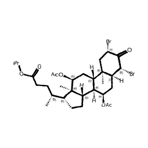 CC(=O)O[C@H]1C[C@H]2[C@@H]([C@H](OC(C)=O)C[C@@H]3[C@@H](Br)C(=O)[C@@H](Br)C[C@@]32C)[C@@H]2CC[C@H]([C@H](C)CCC(=O)OC(C)C)[C@@]12C